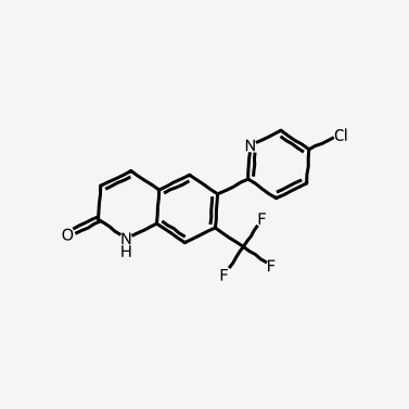 O=c1ccc2cc(-c3ccc(Cl)cn3)c(C(F)(F)F)cc2[nH]1